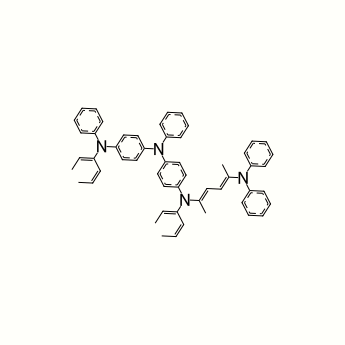 C/C=C\C(=C/C)N(/C(C)=C/C=C(\C)N(c1ccccc1)c1ccccc1)c1ccc(N(c2ccccc2)c2ccc(N(C(/C=C\C)=C/C)c3ccccc3)cc2)cc1